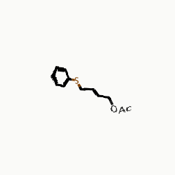 CC(=O)OCCCCSc1ccccc1